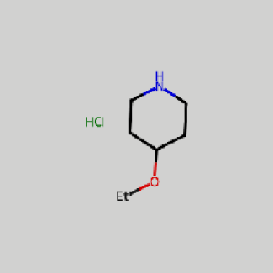 CCOC1CCNCC1.Cl